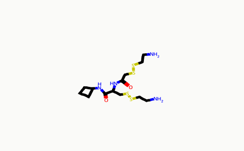 NCCSSCC(=O)NC(CSSCCN)C(=O)NC1CCC1